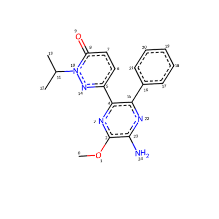 COc1nc(-c2ccc(=O)n(C(C)C)n2)c(-c2ccccc2)nc1N